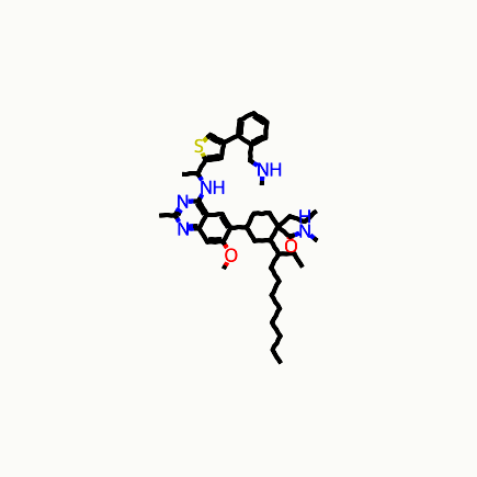 CCCCCCCCC(CC)C1CC(c2cc3c(NC(C)c4cc(-c5ccccc5CNC)cs4)nc(C)nc3cc2OC)CCC1(CCC)C(=O)NC